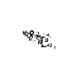 C=N/C(=C\C(=C(/C)N1CCC1)n1cnc(C2CC2CCC)c1)C(=O)Nc1cccc2c1OCCn1nnnc1-2